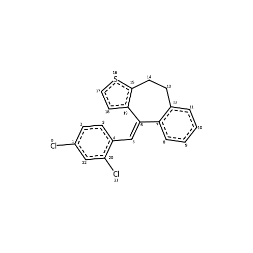 Clc1ccc(C=C2c3ccccc3CCc3sccc32)c(Cl)c1